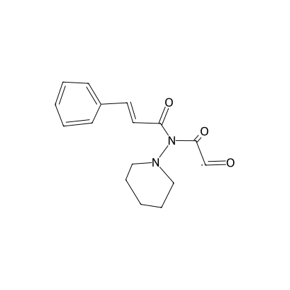 O=[C]C(=O)N(C(=O)C=Cc1ccccc1)N1CCCCC1